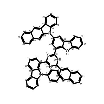 c1ccc(-n2c3ccccc3c3cccc(C4=NC(c5ccc6ccccc6c5)NC(c5cc(-n6c7ccccc7c7cc8ccccc8cc76)cc6c5oc5ccccc56)=N4)c32)cc1